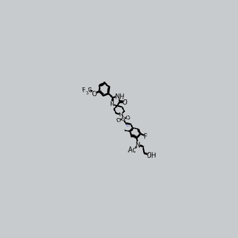 CC(=O)N(CCO)c1cc(C)c(/C=C/S(=O)(=O)N2CCC3(CC2)N=C(c2cccc(OC(F)(F)F)c2)NC3=O)cc1F